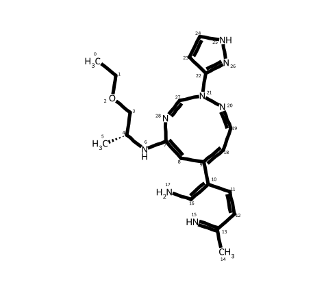 CCOC[C@@H](C)Nc1cc(C(/C=C\C(C)=N)=C\N)ccnn(-c2cc[nH]n2)cn1